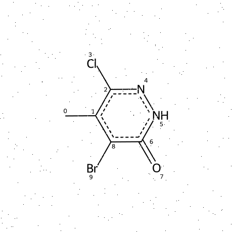 Cc1c(Cl)n[nH]c(=O)c1Br